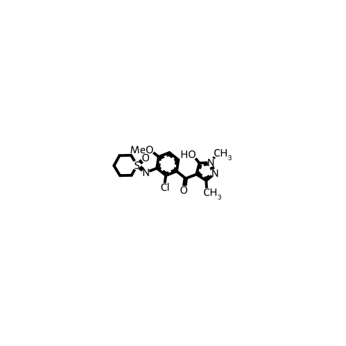 COc1ccc(C(=O)c2c(C)nn(C)c2O)c(Cl)c1N=S1(=O)CCCCC1